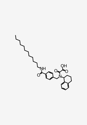 CCCCCCCCCCCCNC(=O)c1ccc(CN(C(=O)C(=O)O)C2CCCc3ccccc32)cc1